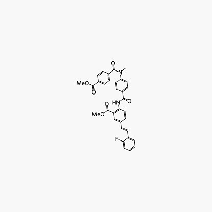 COC(=O)c1ccc(C(=O)N(C)c2ccc(C(=O)Nc3ccc(/C=C/c4ccccc4F)cc3C(=O)OC)cc2)cc1